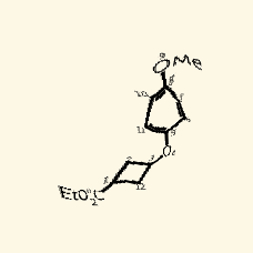 CCOC(=O)C1CC(Oc2ccc(OC)cc2)C1